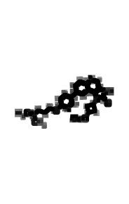 CO[C@H]1C[C@@H](n2c(=O)[nH]c3cnc4ccc(-c5ccc(OCCCN(C)C)nc5)cc4c32)C1